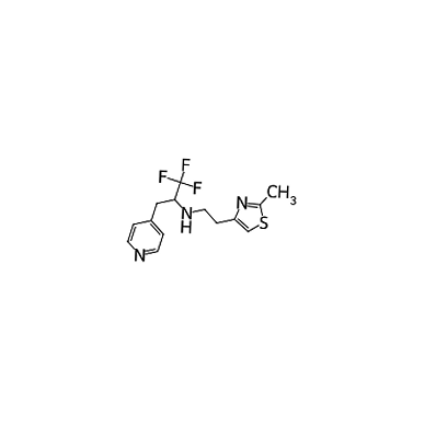 Cc1nc(CCNC(Cc2ccncc2)C(F)(F)F)cs1